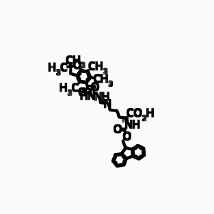 Cc1c(C)c(S(=O)(=O)NNC=NCCC[C@@H](NC(=O)OCC2c3ccccc3-c3ccccc32)C(=O)O)c(C)c2c1OC(C)(C)C2